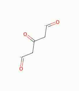 O=[C]CC(=O)C[C]=O